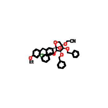 CCOc1ccc(Cc2cc([C@]34OC[C@](OCC#N)(O3)[C@@H](OCc3ccccc3)[C@H](OCc3ccccc3)[C@H]4OCc3ccccc3)ccc2Cl)cc1